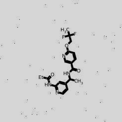 CCC(=O)Nc1cc(C(C)NC(=O)c2ccc(OCC(C)(F)F)nc2)ccn1